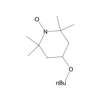 CCCCOC1CC(C)(C)N([O])C(C)(C)C1